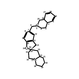 C1=CC2CCN(Cc3ccc4c(c3)C[C@@]3(CCN5CCCCC5C3)O4)CC2C=C1